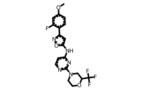 COc1ccc(-c2cc(Nc3ccnc(N4CCOC(C(F)(F)F)C4)n3)on2)c(F)c1